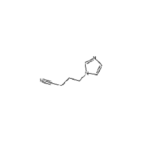 N#CCCCn1ccnc1